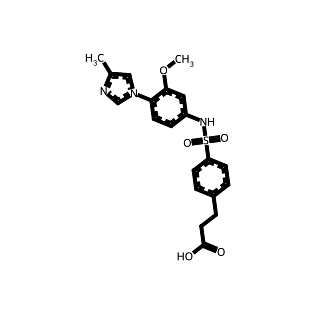 COc1cc(NS(=O)(=O)c2ccc(CCC(=O)O)cc2)ccc1-n1cnc(C)c1